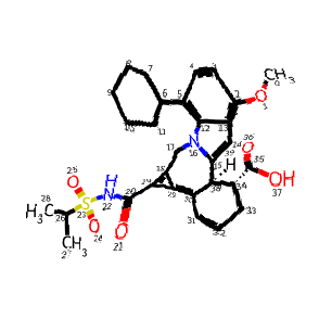 COc1ccc(C2CCCCC2)c2c1cc1n2CC2=C(C(=O)NS(=O)(=O)C(C)C)C2=C2C=CC[C@@H](C(=O)O)[C@@H]21